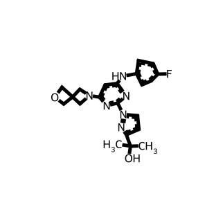 CC(C)(O)c1ccn(-c2nc(Nc3ccc(F)cc3)cc(N3CC4(COC4)C3)n2)n1